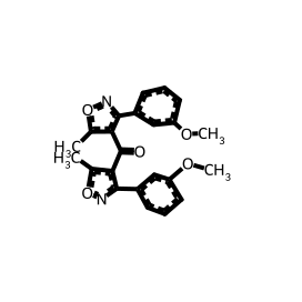 COc1cccc(-c2noc(C)c2C(=O)c2c(-c3cccc(OC)c3)noc2C)c1